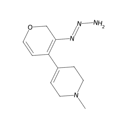 CN1CC=C(C2=C(N=NN)COC=C2)CC1